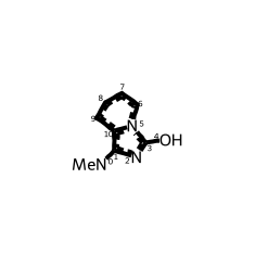 CNc1nc(O)n2ccccc12